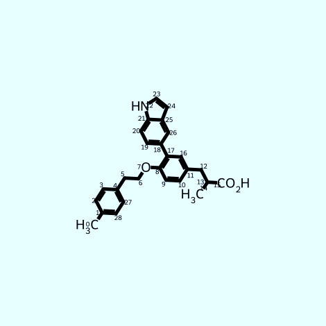 Cc1ccc(CCOc2ccc(CC(C)C(=O)O)cc2-c2ccc3[nH]ccc3c2)cc1